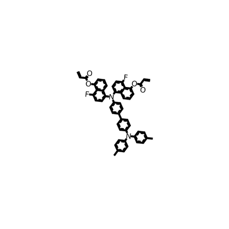 C=CC(=O)Oc1cccc2c(N(c3ccc(-c4ccc(N(c5ccc(C)cc5)c5ccc(C)cc5)cc4)cc3)c3ccc(F)c4c(OC(=O)C=C)cccc34)ccc(F)c12